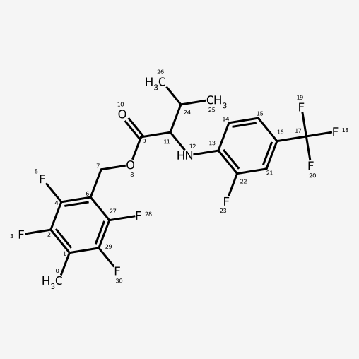 Cc1c(F)c(F)c(COC(=O)C(Nc2ccc(C(F)(F)F)cc2F)C(C)C)c(F)c1F